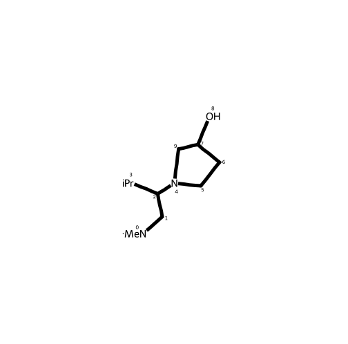 C[N]CC(C(C)C)N1CCC(O)C1